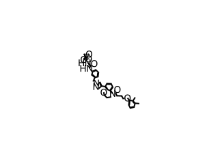 Cc1cccc(OCCCC(=O)N2CCCOc3c(-c4cnn(Cc5cccc(NC(=O)NOS(C)(=O)=O)c5)c4)cccc32)c1C